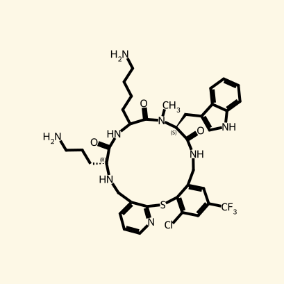 CN1C(=O)C(CCCCN)NC(=O)[C@@H](CCCN)NCc2cccnc2Sc2c(Cl)cc(C(F)(F)F)cc2CNC(=O)[C@@H]1Cc1c[nH]c2ccccc12